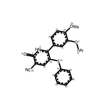 CCCOc1cc(-c2[nH]c(=O)c(C#N)cc2Sc2ccccc2)ccc1OC